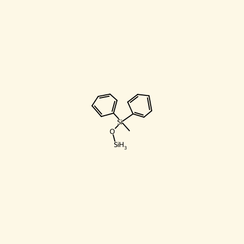 C[Si](O[SiH3])(c1ccccc1)c1ccccc1